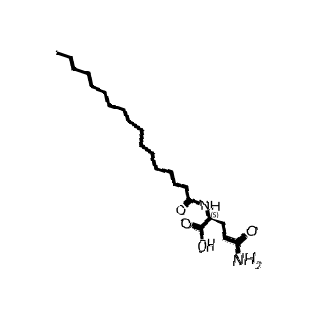 CCCCCCCCCCCCCCCCC(=O)N[C@@H](CCC(N)=O)C(=O)O